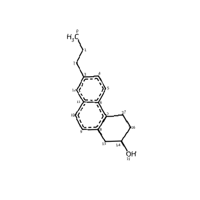 CCCc1ccc2c3c(ccc2c1)CC(O)CC3